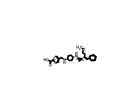 COCC/C(=C\c1ccccc1)[C@@H]1C[C@H]1N[C@H]1CC[C@H](NCc2ccc(C(=O)O)nc2)CC1